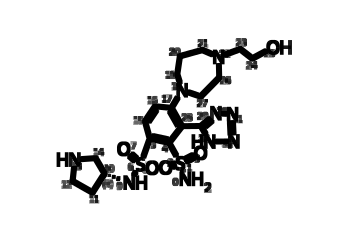 NS(=O)(=O)c1c(S(=O)(=O)N[C@@H]2CCNC2)ccc(N2CCCN(CCO)CC2)c1-c1nnn[nH]1